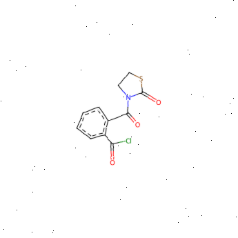 O=C(Cl)c1ccccc1C(=O)N1CCSC1=O